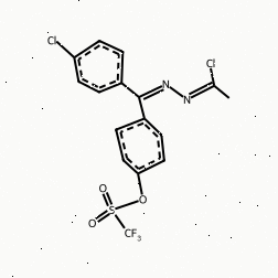 CC(Cl)=NN=C(c1ccc(Cl)cc1)c1ccc(OS(=O)(=O)C(F)(F)F)cc1